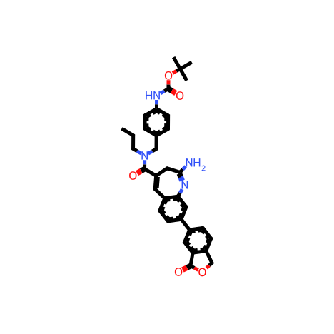 CCCN(Cc1ccc(NC(=O)OC(C)(C)C)cc1)C(=O)C1=Cc2ccc(-c3ccc4c(c3)C(=O)OC4)cc2N=C(N)C1